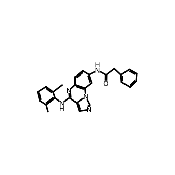 Cc1cccc(C)c1Nc1nc2ccc(NC(=O)Cc3ccccc3)cc2n2cncc12